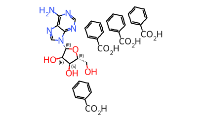 Nc1ncnc2c1ncn2[C@@H]1O[C@H](CO)[C@@H](O)[C@H]1O.O=C(O)c1ccccc1.O=C(O)c1ccccc1.O=C(O)c1ccccc1.O=C(O)c1ccccc1